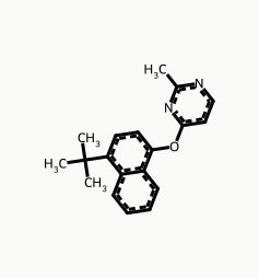 Cc1nccc(Oc2ccc(C(C)(C)C)c3ccccc23)n1